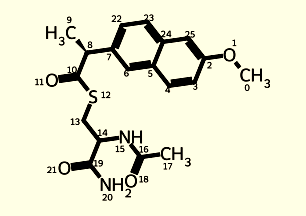 COc1ccc2cc([C@H](C)C(=O)SCC(NC(C)=O)C(N)=O)ccc2c1